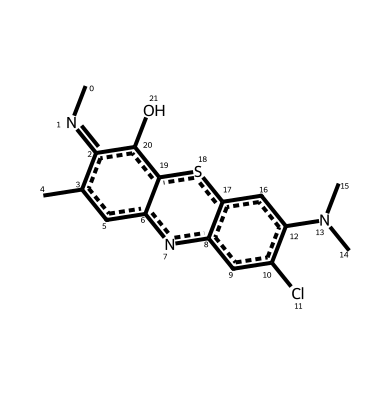 CN=c1c(C)cc2nc3cc(Cl)c(N(C)C)cc3sc-2c1O